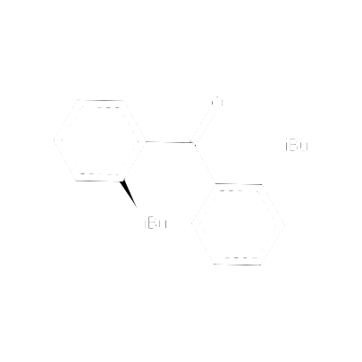 CC[C@@H](C)c1ccccc1C(=O)c1ccccc1[C@H](C)CC